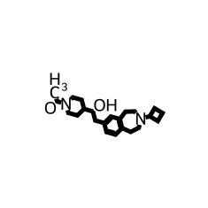 CC(=O)N1CCC(C(O)Cc2ccc3c(c2)CCN(C2CCC2)CC3)CC1